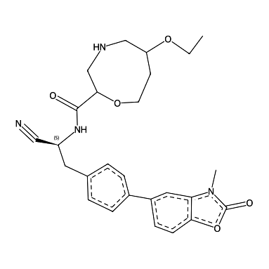 CCOC1CCOC(C(=O)N[C@H](C#N)Cc2ccc(-c3ccc4oc(=O)n(C)c4c3)cc2)CNC1